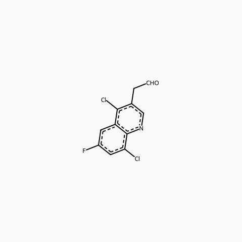 O=CCc1cnc2c(Cl)cc(F)cc2c1Cl